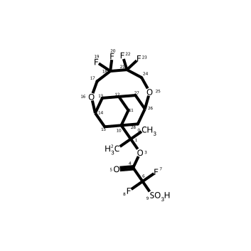 CC(C)(OC(=O)C(F)(F)S(=O)(=O)O)C12CC3CC(C1)OCC(F)(F)C(F)(F)COC(C3)C2